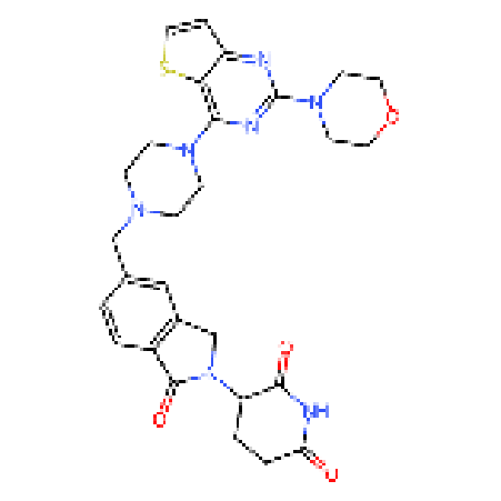 O=C1CCC(N2Cc3cc(CN4CCN(c5nc(N6CCOCC6)nc6ccsc56)CC4)ccc3C2=O)C(=O)N1